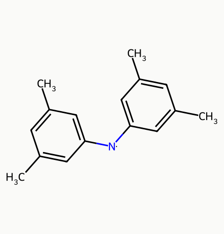 Cc1cc(C)cc([N]c2cc(C)cc(C)c2)c1